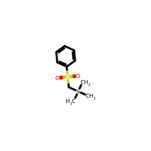 C[Si](C)(C)CS(=O)(=O)c1ccccc1